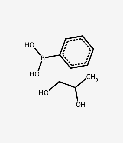 CC(O)CO.OB(O)c1ccccc1